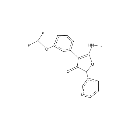 CNC1=C(c2cccc(OC(F)F)c2)C(=O)C(c2ccccc2)O1